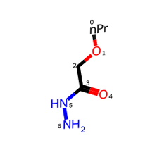 CCCOCC(=O)NN